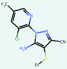 CCSc1c(C#N)nn(-c2ncc(C(F)(F)F)cc2Cl)c1N